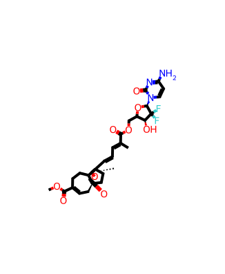 COC(=O)C1=CC[C@]23CCC(C2CC1)[C@@](C)(/C=C/C=C(\C)C(=O)OCC1O[C@@H](n2ccc(N)nc2=O)C(F)(F)[C@H]1O)OC3=O